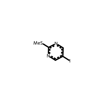 CSc1ncc(I)cn1